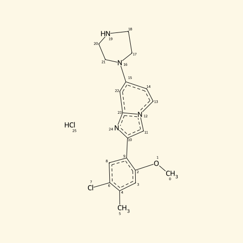 COc1cc(C)c(Cl)cc1-c1cn2ccc(N3CCNCC3)cc2n1.Cl